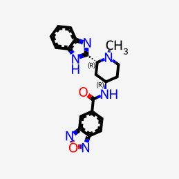 CN1CC[C@@H](NC(=O)c2ccc3nonc3c2)C[C@@H]1c1nc2ccccc2[nH]1